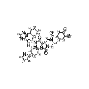 CC(NC(=O)c1c2n(c(=O)n1-c1ccc(-n3cccn3)cc1)CCN(C(=O)c1ccc(Br)c(Cl)c1)C2)c1ccccc1-n1cncn1